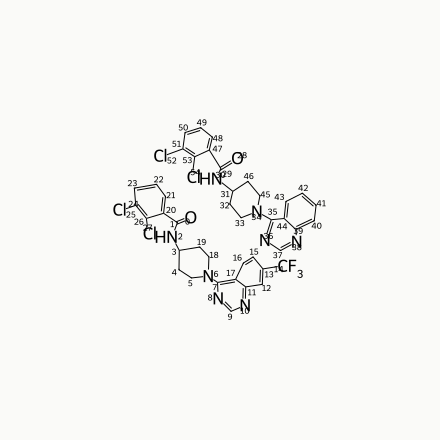 O=C(NC1CCN(c2ncnc3cc(C(F)(F)F)ccc23)CC1)c1cccc(Cl)c1Cl.O=C(NC1CCN(c2ncnc3ccccc23)CC1)c1cccc(Cl)c1Cl